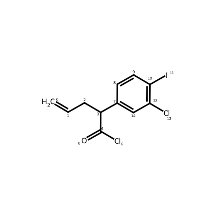 C=CCC(C(=O)Cl)c1ccc(I)c(Cl)c1